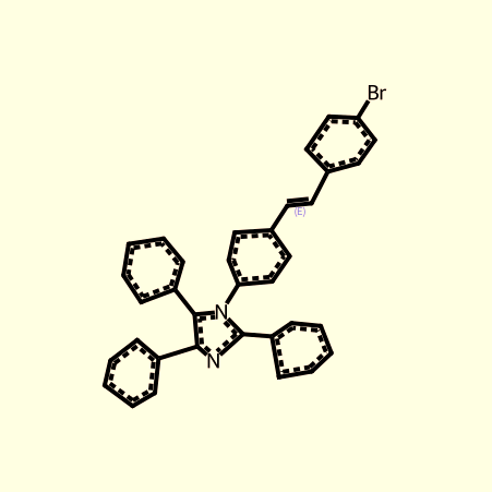 Brc1ccc(/C=C/c2ccc(-n3c(-c4ccccc4)nc(-c4ccccc4)c3-c3ccccc3)cc2)cc1